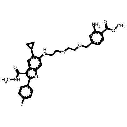 CNC(=O)c1c(-c2ccc(F)cc2)oc2cc(NCCOCCOCc3ccc(C(=O)OC)c(N)c3)c(C3CC3)cc12